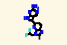 Cc1nc2ccc(-c3c[nH]c4nc(N)ncc34)nc2n1CC(F)F